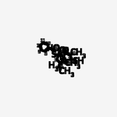 CCCCC(SCc1ccccc1)(C(=O)O)N(C(=O)[C@H](C)CS)N(C)C